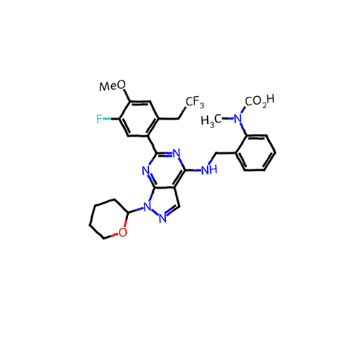 COc1cc(CC(F)(F)F)c(-c2nc(NCc3ccccc3N(C)C(=O)O)c3cnn(C4CCCCO4)c3n2)cc1F